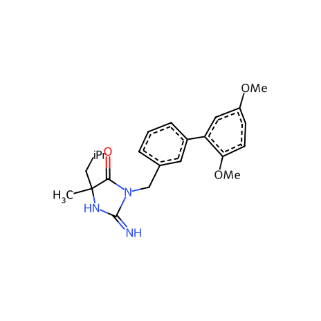 COc1ccc(OC)c(-c2cccc(CN3C(=N)NC(C)(CC(C)C)C3=O)c2)c1